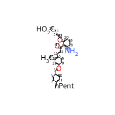 CCCCCc1ccc(COc2ccc(C=CC(=O)c3c(N)cccc3OCCCC(=O)O)c(C)c2)cc1